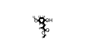 CCOC(=O)/C(C)=C/c1cc(OC)ccc1O